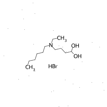 Br.CCCCCCN(CC)CCCC(O)O